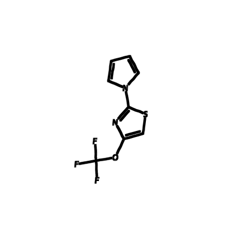 FC(F)(F)Oc1csc(-n2cccc2)n1